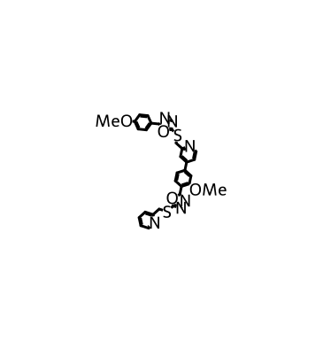 COc1ccc(-c2nnc(SCc3cc(-c4ccc(-c5nnc(SCc6ccccn6)o5)c(OC)c4)ccn3)o2)cc1